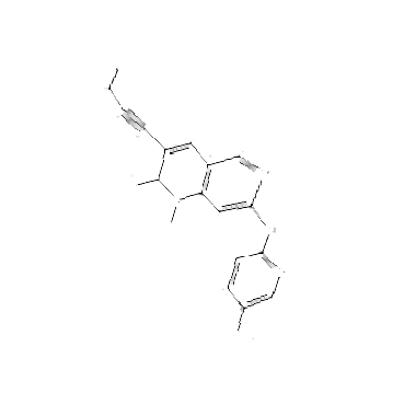 CCN1c2cc(Nc3ccc(C)cn3)ncc2C=C(C#CCO)C1O